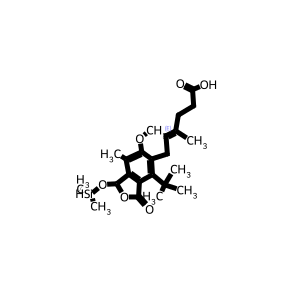 COc1c(C)c2c(c(C(C)(C)C)c1C/C=C(\C)CCC(=O)O)C(=O)OC2O[SiH](C)C